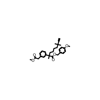 C#CC(C)(C)CCCCC(C)(C(=O)OCc1ccc(OC)cc1)c1cccc(CC(=O)OC)c1